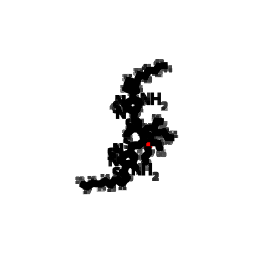 C=C1/C=C(/c2cc(N)c(-c3ccc(CCCCCC)s3)c3nsnc23)SCc2sc(-c3cc(N)c(-c4ccc(CCCCCC)s4)c4nsnc34)cc2C1(CC(CC)CCCC)CC(CC)CCCC